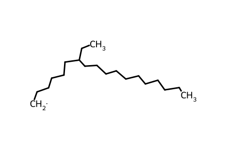 [CH2]CCCCCC(CC)CCCCCCCCCCC